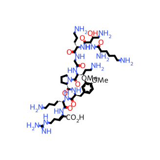 COc1ccc(C[C@H](NC(=O)[C@@H]2CCCN2C(=O)[C@@H](CCCN)NC(=O)CNC(=O)[C@H](CCCN)NC(=O)[C@@H](NC(=O)[C@@H](N)CCCCN)[C@@H](O)CN)C(=O)N[C@@H](CCCCN)C(=O)N/C(=C\CCNC(=N)N)C(=O)O)cc1OC